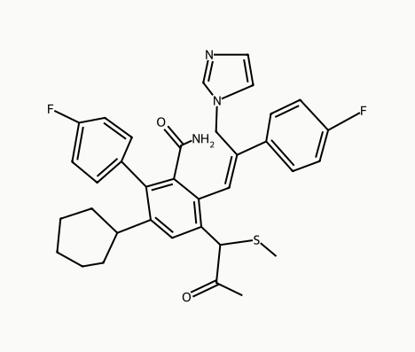 CSC(C(C)=O)c1cc(C2CCCCC2)c(-c2ccc(F)cc2)c(C(N)=O)c1C=C(Cn1ccnc1)c1ccc(F)cc1